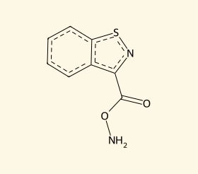 NOC(=O)c1nsc2ccccc12